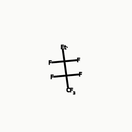 C[CH]C(F)(F)C(F)(F)C(F)(F)F